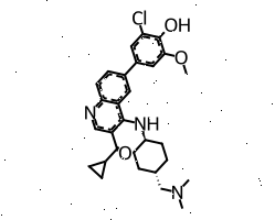 COc1cc(-c2ccc3ncc(C(=O)C4CC4)c(N[C@H]4CC[C@H](CN(C)C)CC4)c3c2)cc(Cl)c1O